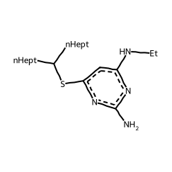 CCCCCCCC(CCCCCCC)Sc1cc(NCC)nc(N)n1